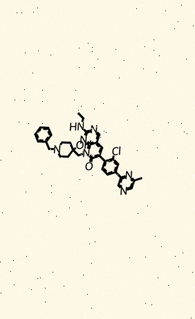 CCNc1ncc2cc(-c3ccc(-c4cncc(C)n4)cc3Cl)c(=O)n(CC3(O)CCN(Cc4ccccc4)CC3)c2n1